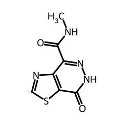 CNC(=O)c1n[nH]c(=O)c2s[c]nc12